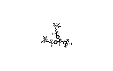 CCO[Si](CCCC(=O)Nc1ccc(-c2nc(-c3cc(C(C)(C)C)c(O)c(C(C)(C)C)c3)[nH]c2-c2ccc(NC(=O)CCC[Si](OCC)(OCC)OCC)cc2)cc1)(OCC)OCC